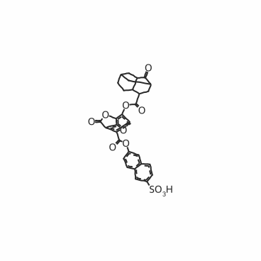 O=C1Oc2c(OC(=O)C3CC4CC5CCC3C(C5)C4=O)c3oc2c1c3C(=O)Oc1ccc2cc(S(=O)(=O)O)ccc2c1